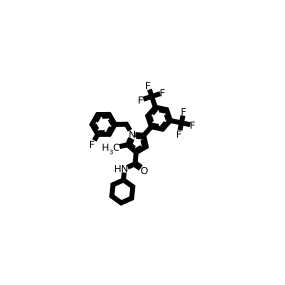 Cc1c(C(=O)NC2CCCCC2)cc(-c2cc(C(F)(F)F)cc(C(F)(F)F)c2)n1Cc1cccc(F)c1